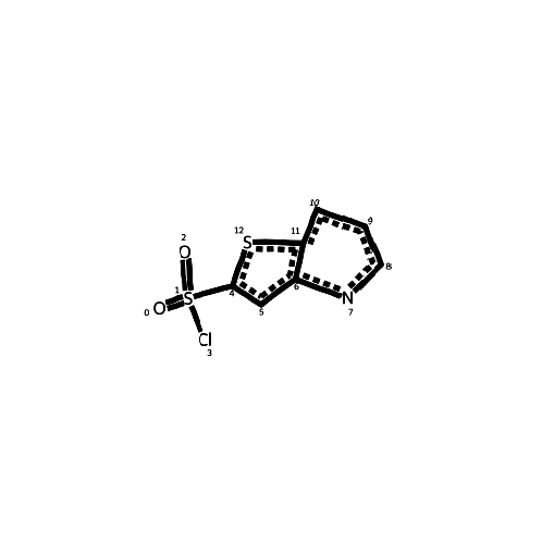 O=S(=O)(Cl)c1cc2ncccc2s1